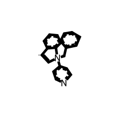 [C]1=C[N+](Cc2ccccc2)(c2ccncc2)c2ccccc21